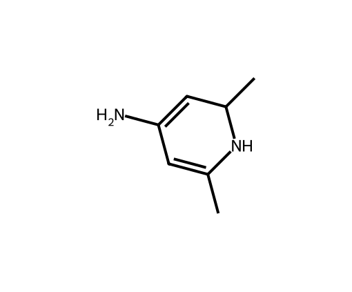 CC1=CC(N)=CC(C)N1